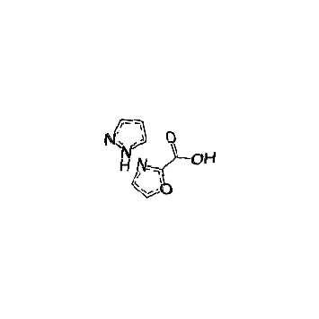 O=C(O)c1ncco1.c1cn[nH]c1